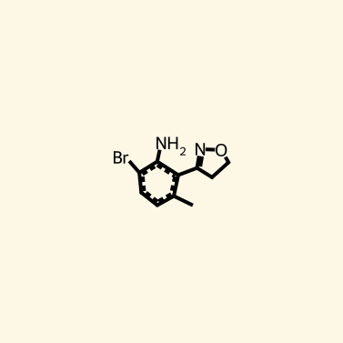 Cc1ccc(Br)c(N)c1C1=NOCC1